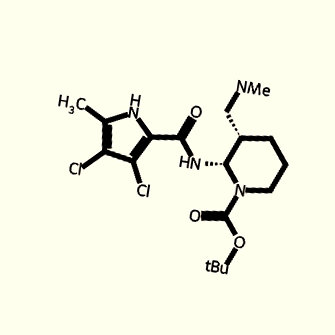 CNC[C@@H]1CCCN(C(=O)OC(C)(C)C)[C@@H]1NC(=O)c1[nH]c(C)c(Cl)c1Cl